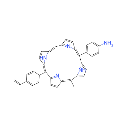 C=Cc1ccc(-c2c3nc(c(C)c4ccc([nH]4)c(-c4ccc(N)cc4)c4nc(cc5ccc2[nH]5)C=C4)C=C3)cc1